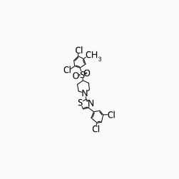 Cc1cc(S(=O)(=O)C2CCN(c3nc(-c4cc(Cl)cc(Cl)c4)cs3)CC2)c(Cl)cc1Cl